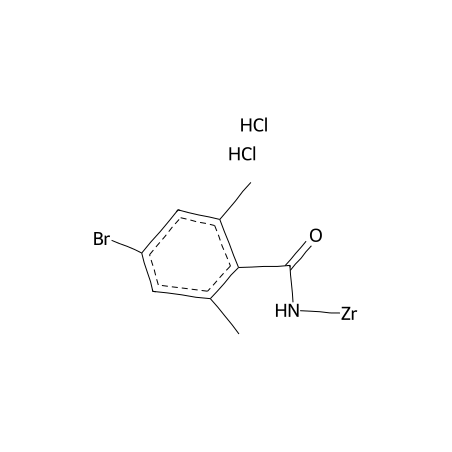 Cc1cc(Br)cc(C)c1C(=O)[NH][Zr].Cl.Cl